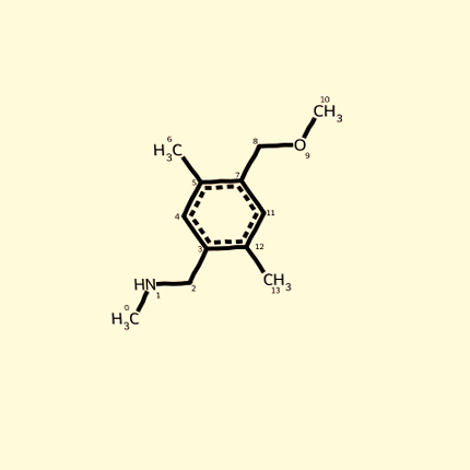 CNCc1cc(C)c(COC)cc1C